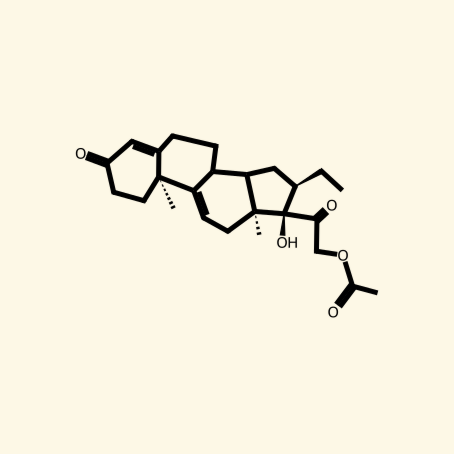 CC[C@@H]1CC2C3CCC4=CC(=O)CC[C@]4(C)C3=CC[C@]2(C)[C@@]1(O)C(=O)COC(C)=O